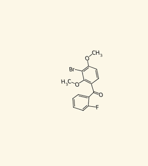 COc1ccc(C(=O)c2ccccc2F)c(OC)c1Br